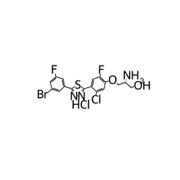 Cl.N[C@H](CO)COc1cc(Cl)c(-c2nnc(-c3cc(F)cc(Br)c3)s2)cc1F